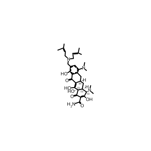 CC(C)=CCN(CC=C(C)C)Cc1cc(N(C)C)c2c(c1O)C(=O)C1=C(O)[C@]3(O)C(=O)C(C(N)=O)=C(O)[C@@H](N(C)C)[C@@H]3C[C@@H]1C2